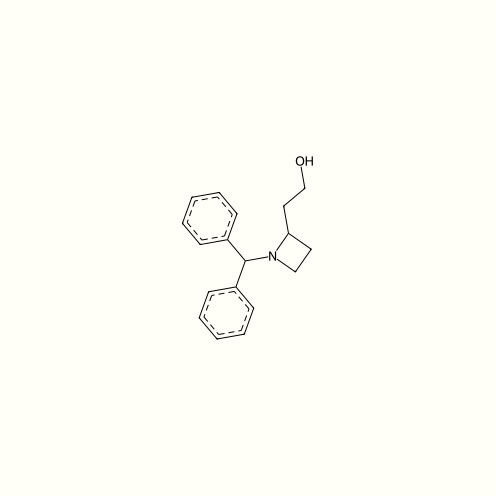 OCCC1CCN1C(c1ccccc1)c1ccccc1